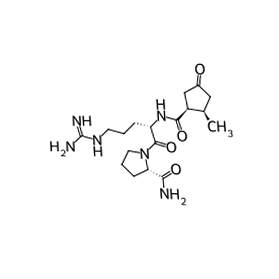 C[C@@H]1CC(=O)C[C@@H]1C(=O)N[C@@H](CCCNC(=N)N)C(=O)N1CCC[C@H]1C(N)=O